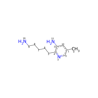 Cc1cnc(CCCCCN)c(N)c1